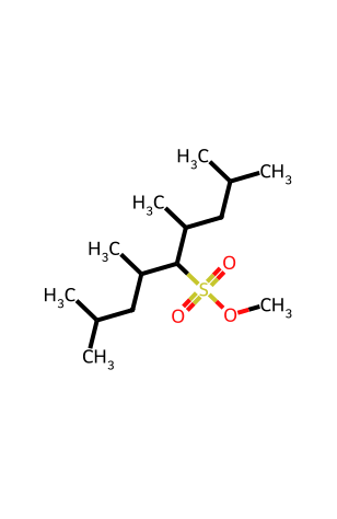 COS(=O)(=O)C(C(C)CC(C)C)C(C)CC(C)C